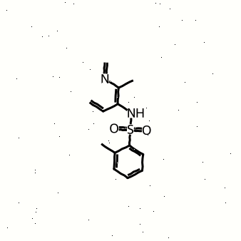 C=C/C(NS(=O)(=O)c1ccccc1C)=C(/C)N=C